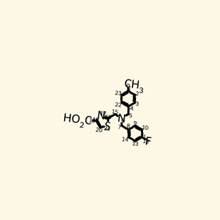 Cc1ccc(CN(Cc2ccc(F)cc2)Cc2nc(C(=O)O)cs2)cc1